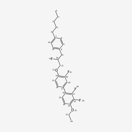 CCCCCc1ccc(CC(F)COc2ccc(-c3ccc(OCC)c(F)c3F)cc2F)cc1